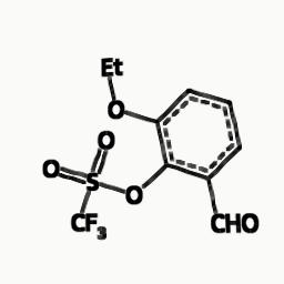 CCOc1cccc(C=O)c1OS(=O)(=O)C(F)(F)F